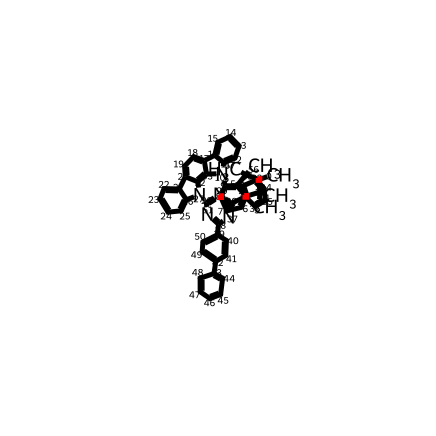 CC1C(C)(C)c2cccc(-n3c4ccccc4c4ccc5c6ccccc6n(-c6nc(-c7ccccc7)nc(-c7ccc(-c8ccccc8)cc7)n6)c5c43)c2C1(C)C